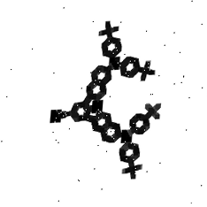 CC(C)(C)c1ccc(N(c2ccc(C(C)(C)C)cc2)c2ccc3cc4c5cc(C#N)cc6c7cc8ccc(N(c9ccc(C(C)(C)C)cc9)c9ccc(C(C)(C)C)cc9)cc8cc7n(c4cc3c2)c56)cc1